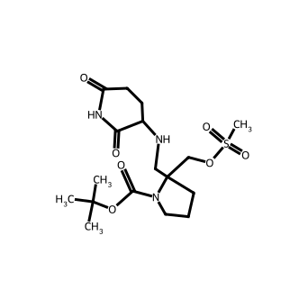 CC(C)(C)OC(=O)N1CCCC1(CNC1CCC(=O)NC1=O)COS(C)(=O)=O